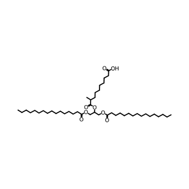 CCCCCCCCCCCCCCCC(=O)OCC(COC(=O)CCCCCCCCCCCCCCC)OC(=O)C(C)CCCCCCCC(=O)O